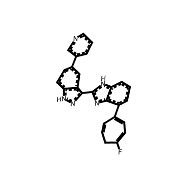 FC1=CC=C(c2cccc3[nH]c(-c4n[nH]c5ccc(-c6cccnc6)cc45)nc23)C=CC1